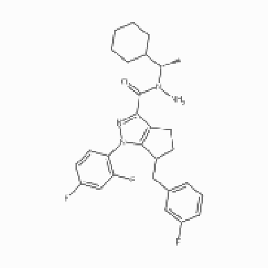 C[C@H](C1CCCCC1)N(N)C(=O)c1nn(-c2ccc(F)cc2F)c2c1CCC2Cc1cccc(F)c1